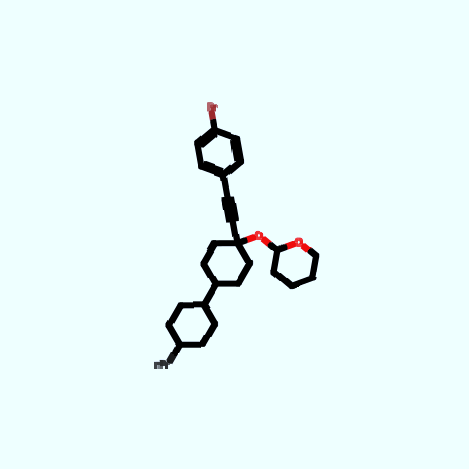 CCCC1CCC(C2CCC(C#Cc3ccc(Br)cc3)(OC3CCCCO3)CC2)CC1